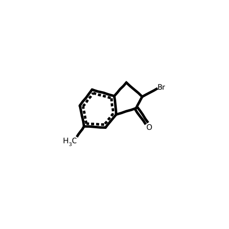 Cc1ccc2c(c1)C(=O)C(Br)C2